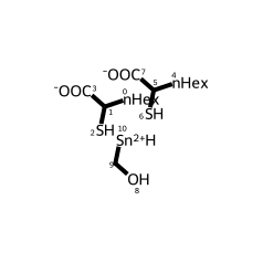 CCCCCCC(S)C(=O)[O-].CCCCCCC(S)C(=O)[O-].O[CH2][SnH+2]